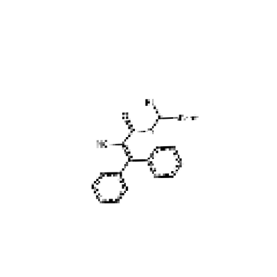 CCCCCC(CC)OC(=O)C(C#N)=C(c1ccccc1)c1ccccc1